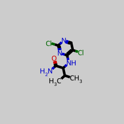 CC(C)C(Nc1nc(Cl)ncc1Cl)C(N)=O